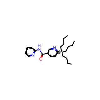 CCC[CH2][Sn]([CH2]CCC)([CH2]CCC)[c]1ccc(C(=O)Nc2ccccn2)cn1